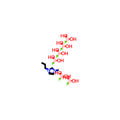 CCCN1C=CN(C)C1.OB(O)F.OB(O)F.OB(O)F.OB(O)F.OB(O)F.OB(O)F